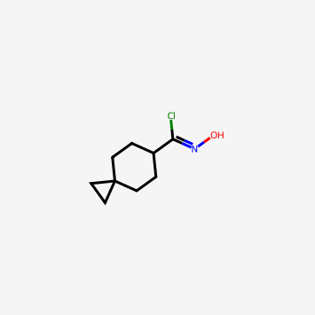 ON=C(Cl)C1CCC2(CC1)CC2